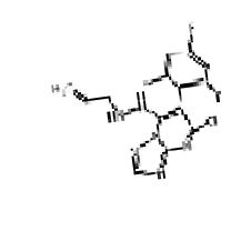 C=CCNNc1c(-c2c(F)cc(F)cc2F)c(Cl)nc2ncnn12